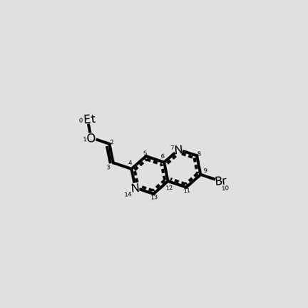 CCOC=Cc1cc2ncc(Br)cc2cn1